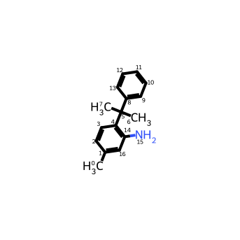 Cc1ccc(C(C)(C)c2ccccc2)c(N)c1